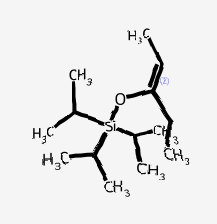 C/C=C(/CC)O[Si](C(C)C)(C(C)C)C(C)C